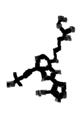 CC(C)(O)C#Cc1ncc(OCCCNC(=O)OC(C)(C)C)c2[nH]c(-c3nonc3N)nc12